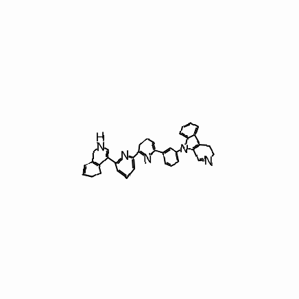 C1=CC2=C(CC1)C(c1cccc(C3=NC(c4cccc(-n5c6c(c7ccccc75)CCN=C6)c4)=CCC3)n1)=CNC2